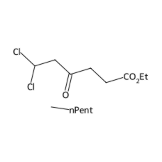 CCCCCC.CCOC(=O)CCC(=O)CC(Cl)Cl